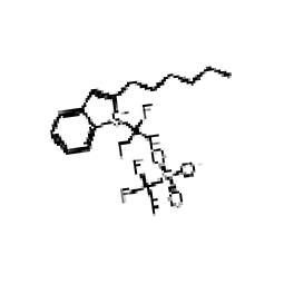 CCCCCCc1cc2ccccc2[s+]1C(F)(F)F.O=S(=O)([O-])C(F)(F)F